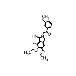 C[CH]c1cccc(C(=O)CN2Cc3cc(OCC)c(OCC)c(F)c3C2=N)c1